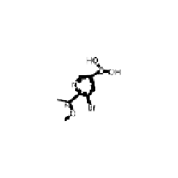 CO[C@@H](C)c1ncc(B(O)O)cc1Br